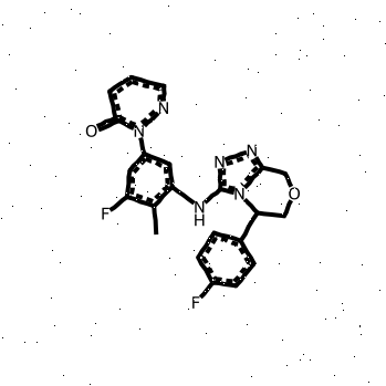 Cc1c(F)cc(-n2ncccc2=O)cc1Nc1nnc2n1C(c1ccc(F)cc1)COC2